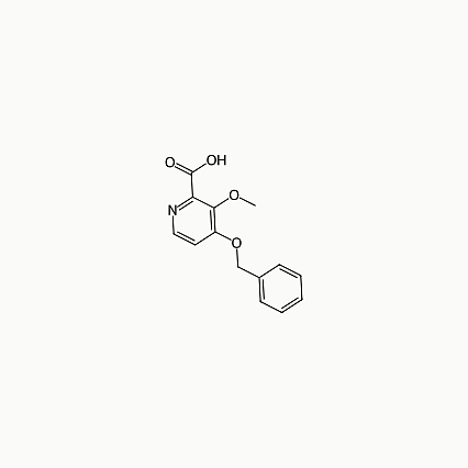 COc1c(OCc2ccccc2)ccnc1C(=O)O